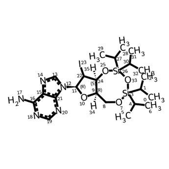 CC(C)[Si]1(C(C)C)OC[C@H]2O[C@@H](n3cnc4c(N)ncnc43)C(I)[C@H]2O[Si](C(C)C)(C(C)C)O1